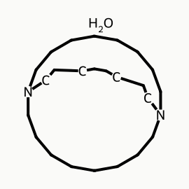 C1CCCCN2CCCCCCCCN(CCC1)CCCCCCCC2.O